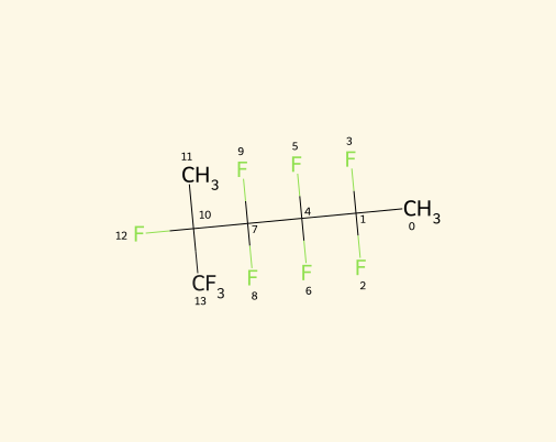 CC(F)(F)C(F)(F)C(F)(F)C(C)(F)C(F)(F)F